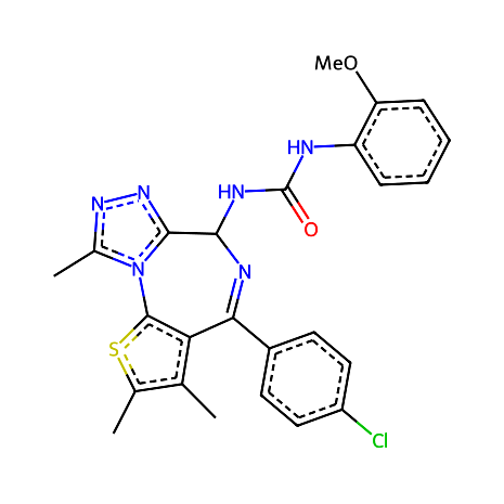 COc1ccccc1NC(=O)NC1N=C(c2ccc(Cl)cc2)c2c(sc(C)c2C)-n2c(C)nnc21